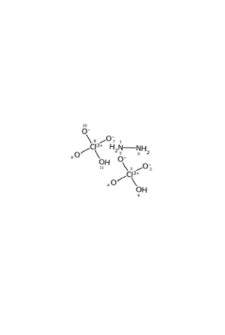 NN.[O-][Cl+3]([O-])([O-])O.[O-][Cl+3]([O-])([O-])O